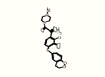 C=C(C(=O)N1CCN(C(C)=O)CC1)c1ccc(Sc2ccc3c(c2)CCOO3)c(Cl)c1Cl